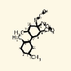 CC1CCC(C)C(C2CC(C)C(N=C=O)(N=C=O)CC2C)C1